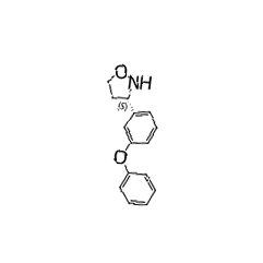 c1ccc(Oc2cccc([C@@H]3CCON3)c2)cc1